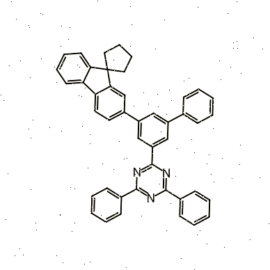 c1ccc(-c2cc(-c3ccc4c(c3)C3(CCCC3)c3ccccc3-4)cc(-c3nc(-c4ccccc4)nc(-c4ccccc4)n3)c2)cc1